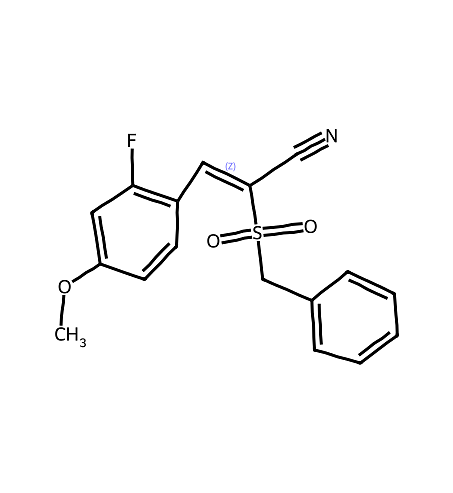 COc1ccc(/C=C(/C#N)S(=O)(=O)Cc2ccccc2)c(F)c1